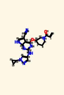 C=CC(=O)N1CCC[C@@H](Oc2nc(Nc3cnn(C4CC4)c3)nc3[nH]cc(C#N)c23)C1